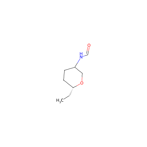 CC[C@@H]1CCC(NC=O)CO1